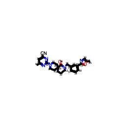 Cc1cc(C#N)nc(N2CCC3(CCCN(Cc4cccc(-c5ncc(C)o5)c4)C3=O)CC2)n1